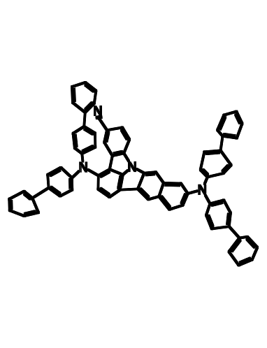 N#Cc1ccc2c(c1)c1c(N(c3ccc(-c4ccccc4)cc3)c3ccc(-c4ccccc4)cc3)ccc3c4cc5ccc(N(c6ccc(-c7ccccc7)cc6)c6ccc(-c7ccccc7)cc6)cc5cc4n2c31